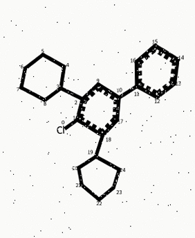 Clc1c(C2CCCCC2)cc(-c2ccccc2)cc1C1CCCCC1